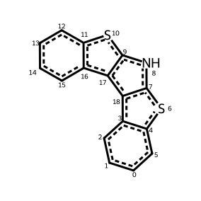 c1ccc2c(c1)sc1[nH]c3sc4ccccc4c3c12